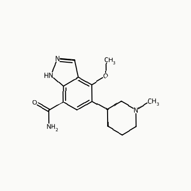 COc1c(C2CCCN(C)C2)cc(C(N)=O)c2[nH]ncc12